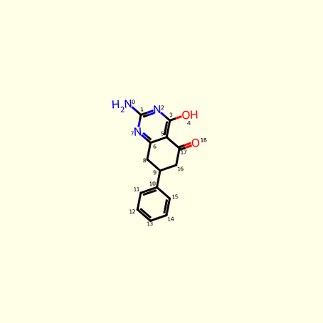 Nc1nc(O)c2c(n1)CC(c1ccccc1)CC2=O